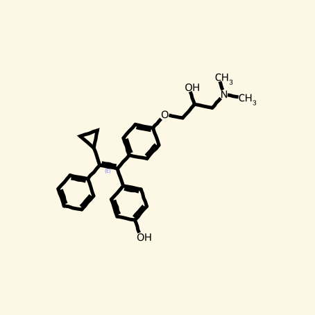 CN(C)CC(O)COc1ccc(/C(=C(/c2ccccc2)C2CC2)c2ccc(O)cc2)cc1